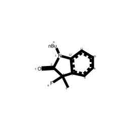 CCCCN1C(=O)C(C)(F)c2ccccc21